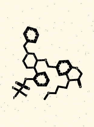 COCCCN1C(=O)COc2ccc(COC3CN(Cc4ccccc4)CCC3c3ccccc3OS(=O)(=O)C(F)(F)F)cc21